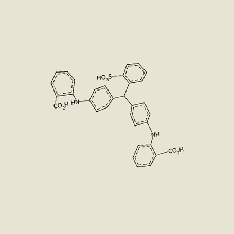 O=C(O)c1ccccc1Nc1ccc(C(c2ccc(Nc3ccccc3C(=O)O)cc2)c2ccccc2S(=O)(=O)O)cc1